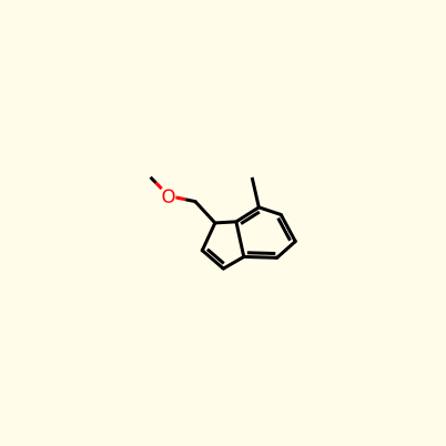 COCC1C=Cc2cccc(C)c21